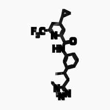 CC(Cc1nncn1C)c1cccc(NC(=O)c2cc(C3CC3)cc(C(F)(F)F)n2)c1